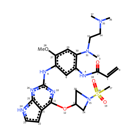 C=CC(=O)Nc1cc(Nc2nc(OC3CN(S(C)(=O)=O)C3)c3cc[nH]c3n2)c(OC)cc1N(C)CCN(C)C